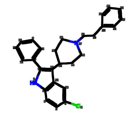 Clc1ccc2[nH]c(-c3ccccc3)c(C3CCN(CCc4ccccc4)CC3)c2c1